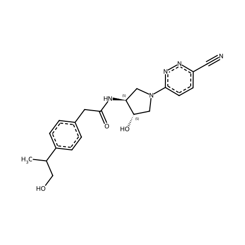 CC(CO)c1ccc(CC(=O)N[C@H]2CN(c3ccc(C#N)nn3)C[C@@H]2O)cc1